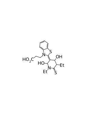 CCC1C(=S)N(CC)C(O)/C(=C2/Sc3ccccc3N2CCC(=O)O)C1O